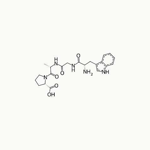 C[C@H](NC(=O)CNC(=O)[C@@H](N)Cc1c[nH]c2ccccc12)C(=O)N1CCC[C@H]1C(=O)O